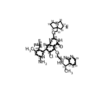 Cc1cc(N)nc(-c2c(Cl)c(OCCN[C@H](C)c3cccnc3N)c3c(=O)[nH]c(OC[C@@]45CCCN4C[C@H](F)C5)nc3c2F)c1C(F)(F)F